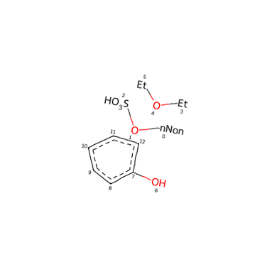 CCCCCCCCCOS(=O)(=O)O.CCOCC.Oc1ccccc1